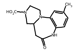 Cc1ccc2c(c1)N1CCN(C(=O)O)CC1CC(=O)N2